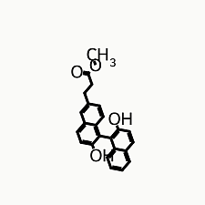 COC(=O)CCc1ccc2c(-c3c(O)ccc4ccccc34)c(O)ccc2c1